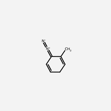 CC1=CCC=CC1=[N+]=[N-]